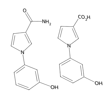 NC(=O)c1ccn(-c2cccc(O)c2)c1.O=C(O)c1ccn(-c2cccc(O)c2)c1